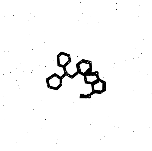 COc1cccc(OC)c1Cc1ccccc1CP(C1CCCCC1)C1CCCCC1